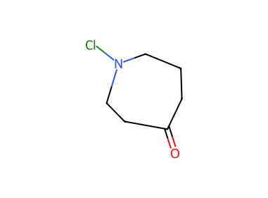 O=C1CCCN(Cl)CC1